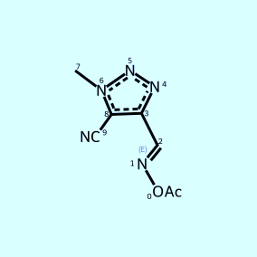 CC(=O)O/N=C/c1nnn(C)c1C#N